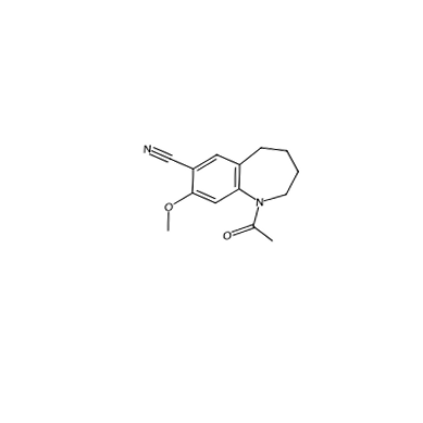 COc1cc2c(cc1C#N)CCCCN2C(C)=O